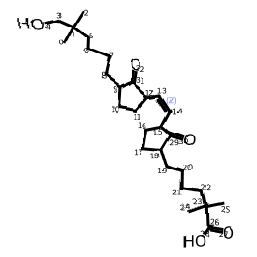 CC(C)(CO)CCCCC1CCC(/C=C\C2CCC(CCCCC(C)(C)C(=O)O)C2=O)C1=O